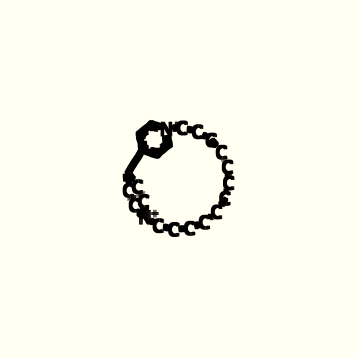 c1c[n+]2ccc1-c1cc[n+](cc1)CCCCCCCCCCCC2